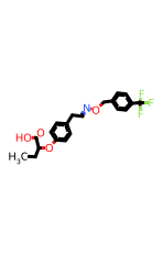 CCC(Oc1ccc(CC=NOCc2ccc(C(F)(F)F)cc2)cc1)C(=O)O